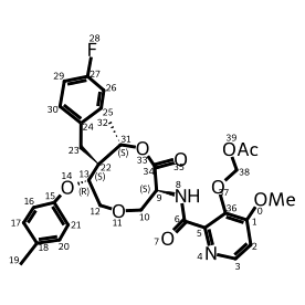 COc1ccnc(C(=O)N[C@H]2COC[C@H](Oc3ccc(C)cc3)[C@@H](Cc3ccc(F)cc3)[C@H](C)OC2=O)c1OCOC(C)=O